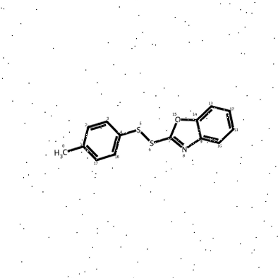 Cc1ccc(SSc2nc3ccccc3o2)cc1